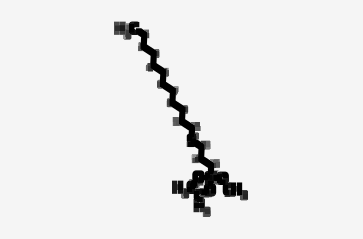 CCCCCCCCCCCCSCCC[Si](OC)(OC)OC